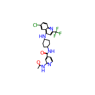 CC(=O)Nc1cc(C(=O)NC2CCC(Nc3cc(C(F)(F)F)nc4ccc(Cl)cc34)CC2)ccn1